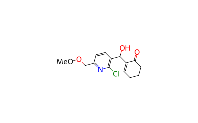 COOCc1ccc(C(O)C2=CCCCC2=O)c(Cl)n1